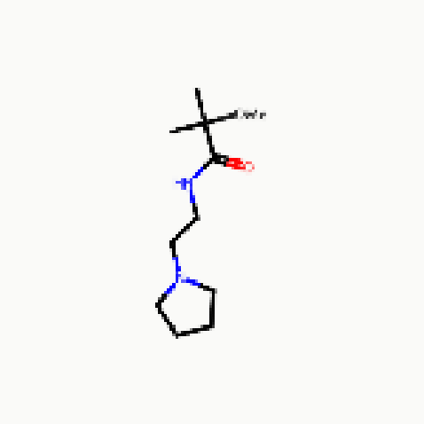 COC(C)(C)C(=O)NCCN1CCCC1